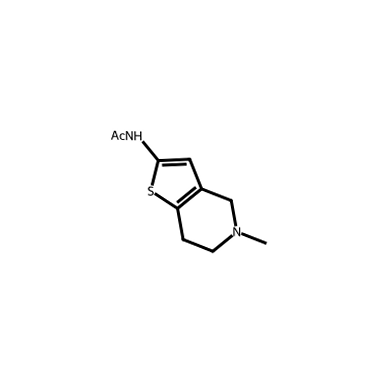 CC(=O)Nc1cc2c(s1)CCN(C)C2